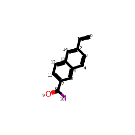 C=Cc1ccc2cc(C(=O)I)ccc2c1